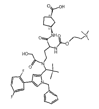 CC(C)(C)C(c1cc(-c2cc(F)ccc2F)cn1Cc1ccccc1)N(CCC(NC(=O)OCC[Si](C)(C)C)C(=O)N[C@H]1CC[C@@H](C(=O)O)C1)C(=O)CO